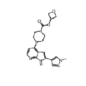 Cn1cc(-c2cc3c(N4CCN(C(=O)OC5COC5)CC4)ccnc3[nH]2)cn1